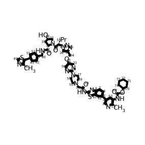 Cc1ncc(-c2ccc3nc(NC(=O)CN4CCN(c5ncc(OCc6cn([C@H](C(=O)N7C[C@H](O)C[C@H]7C(=O)NCc7ccc(-c8scnc8C)cc7)C(C)C)nn6)cn5)CC4)sc3c2)cc1NC(=O)OC1CCCCC1